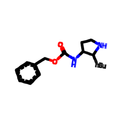 CCCCC1NCCC1NC(=O)OCc1ccccc1